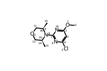 COc1cc(Cl)nc(N2[C@H](C)COC[C@@H]2C)n1